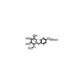 CCCCCOc1ccc(CN2C[C@H](O)[C@@H](O)[C@@H](O)[C@@H]2CO)cc1